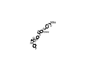 CNC(=O)CN1CCC(COc2cc3nccc(Oc4ccc(NC(=O)C5(C(=O)Nc6ccc(F)cc6)CC5)cc4)c3cc2OC)CC1